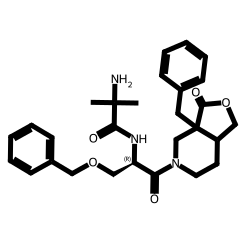 CC(C)(N)C(=O)N[C@H](COCc1ccccc1)C(=O)N1CCC2COC(=O)C2(Cc2ccccc2)C1